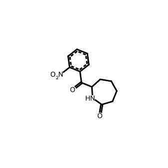 O=C1CCCCC(C(=O)c2ccccc2[N+](=O)[O-])N1